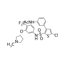 CC(=O)Nc1cccc(-c2cc(Cl)sc2S(=O)(=O)Nc2ccc(C(F)(F)F)c(O[C@@H]3CCN(C)C3)c2)c1